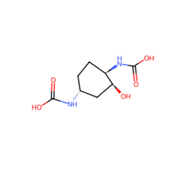 O=C(O)N[C@@H]1CC[C@@H](NC(=O)O)[C@@H](O)C1